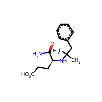 CC(C)(Cc1ccccc1)N[C@@H](CCC(=O)O)C(N)=O